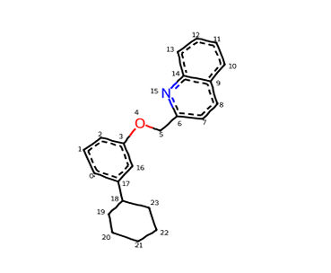 [c]1ccc(OCc2ccc3ccccc3n2)cc1C1CCCCC1